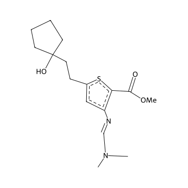 COC(=O)c1sc(CCC2(O)CCCC2)cc1N=CN(C)C